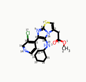 COC(=O)Cc1csc2nc(-c3ccncc3Cl)c(NC3CCCCC3)n12